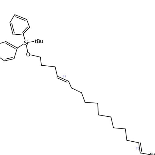 CC/C=C/CCCCCCCCC/C=C/CCCO[Si](c1ccccc1)(c1ccccc1)C(C)(C)C